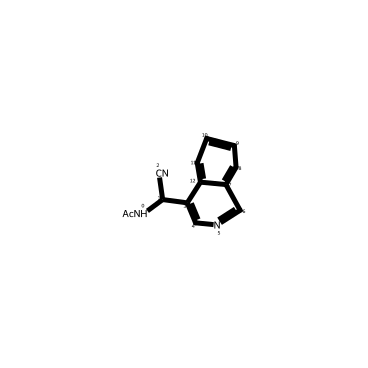 CC(=O)NC(C#N)c1cncc2ccccc12